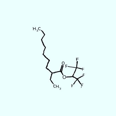 CCCCCCCC(CC)C(=O)OC(C(F)(F)F)C(F)(F)F